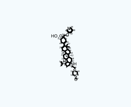 C=C(C)[C@@H]1CC[C@]2(NCCN3CC[S+]([O-])CC3)CC[C@]3(C)[C@H](CCC4[C@@]5(C)CC=C(C6=CCC(COc7cccnc7)(C(=O)O)CC6)C(C)(C)C5CC[C@]43C)C12